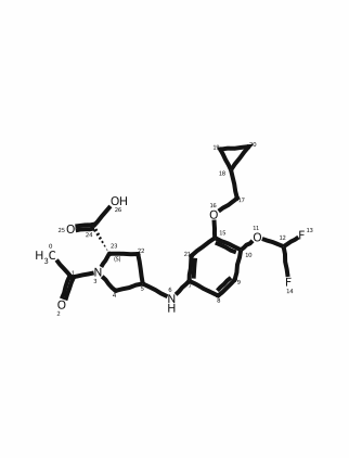 CC(=O)N1CC(Nc2ccc(OC(F)F)c(OCC3CC3)c2)C[C@H]1C(=O)O